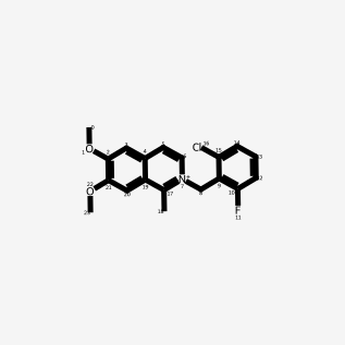 COc1cc2cc[n+](Cc3c(F)cccc3Cl)c(C)c2cc1OC